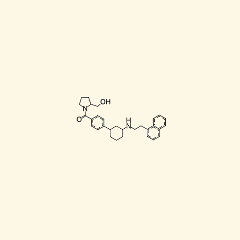 O=C(c1ccc(C2CCCC(NCCc3cccc4ccccc34)C2)cc1)N1CCCC1CO